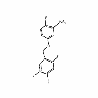 Nc1cc(OCc2cc(F)c(F)cc2F)ccc1F